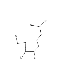 [Li][CH2]C[CH]([Li])[CH]([Li])CCC[CH]([Li])CC